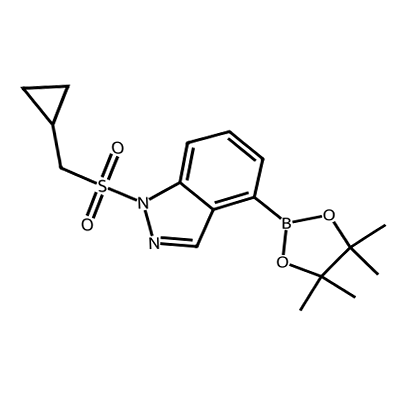 CC1(C)OB(c2cccc3c2cnn3S(=O)(=O)CC2CC2)OC1(C)C